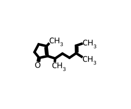 CC=C(C)CCC(C)C1=C(C)CCC1=O